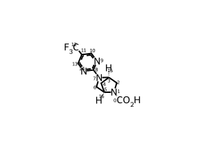 O=C(O)N1C[C@H]2C[C@@H]1CN2c1ncc(C(F)(F)F)cn1